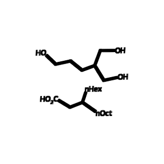 CCCCCCCCC(CCCCCC)CC(=O)O.OCCCC(CO)CO